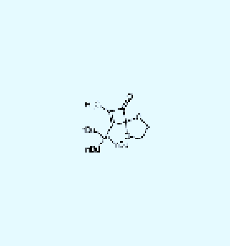 CCC[CH2][Sn]([CH2]CCC)([CH2]CCC)[C]1=C(C)C(=O)C12OCCO2